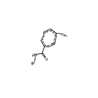 CC(C)NC(=O)c1cccc(O)c1